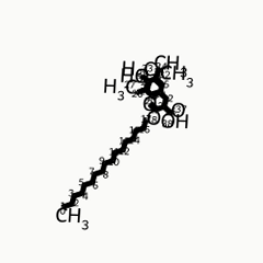 CCCCCCCCCCCCCCCCCCOC(=O)C(Cc1cc(CC)c(O)c(C(C)(C)C)c1)C(=O)O